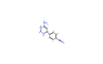 N#Cc1ccc(-c2cc(N)ncn2)cc1